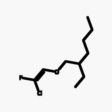 CCCCC(CC)COC=C(F)Cl